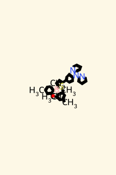 Cc1cc(C)c(B(c2ccc(-c3ccc(N(c4ccccn4)c4ccccn4)cc3)s2)c2c(C)cc(C)cc2C)c(C)c1